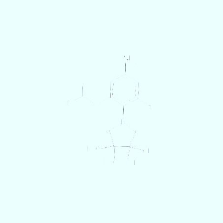 CC1(C)CB(c2c(F)cc(N)cc2OC(F)F)CC1(C)C